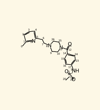 Cc1cccc(CCN2CCN(C(=O)c3ccc(NS(C)(=O)=O)cc3)CC2)n1